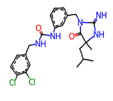 CC(C)CC1(C)NC(=N)N(Cc2cccc(NC(=O)NCc3ccc(Cl)c(Cl)c3)c2)C1=O